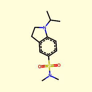 CC(C)N1CCc2cc(S(=O)(=O)N(C)C)ccc21